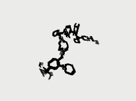 CC(=O)Nc1ccn(C(=O)N2CCN(Cc3ccc(C(F)(F)F)cc3N3CCCCC3)CC2)n1